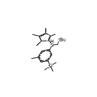 CC1=C(C)C(C)C([SiH](CC(C)(C)C)c2cc(C)cc([Si](C)(C)C)c2)=C1C